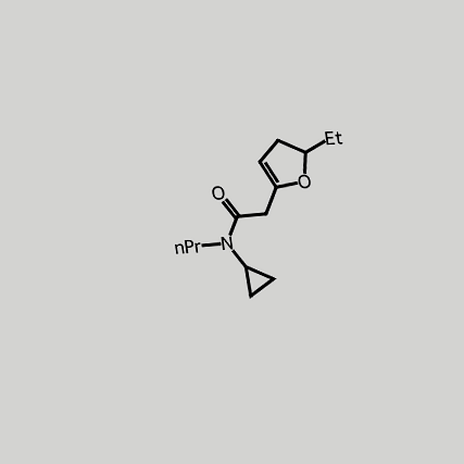 CCCN(C(=O)CC1=CCC(CC)O1)C1CC1